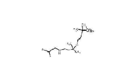 COC(C)(C)CCOC(C)(C)CCNCC(F)F